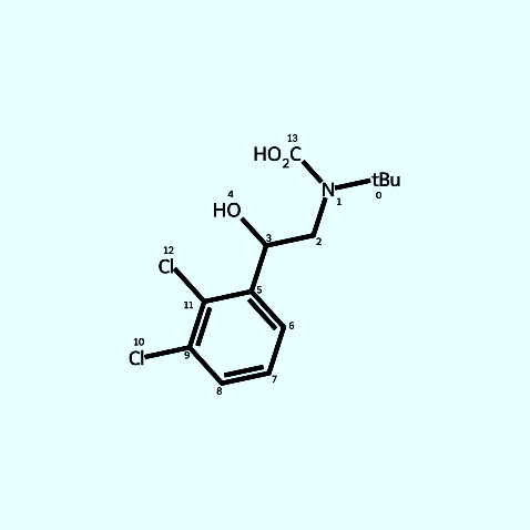 CC(C)(C)N(CC(O)c1cccc(Cl)c1Cl)C(=O)O